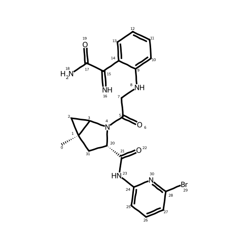 C[C@]12CC1N(C(=O)CNc1ccccc1C(=N)C(N)=O)[C@H](C(=O)Nc1cccc(Br)n1)C2